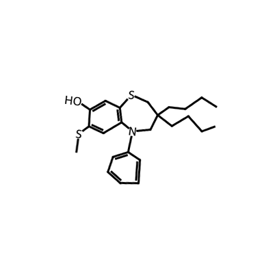 CCCCC1(CCCC)CSc2cc(O)c(SC)cc2N(c2ccccc2)C1